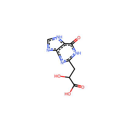 O=C(O)C(O)Cc1nc2nc[nH]c2c(=O)[nH]1